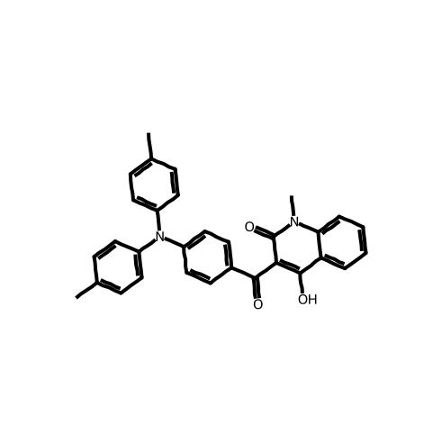 Cc1ccc(N(c2ccc(C)cc2)c2ccc(C(=O)c3c(O)c4ccccc4n(C)c3=O)cc2)cc1